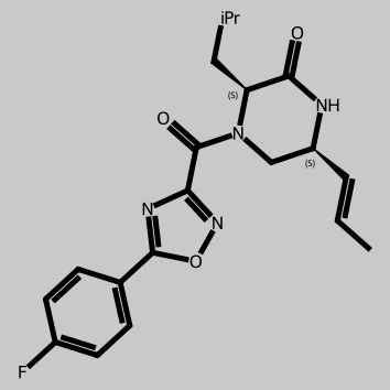 CC=C[C@H]1CN(C(=O)c2noc(-c3ccc(F)cc3)n2)[C@@H](CC(C)C)C(=O)N1